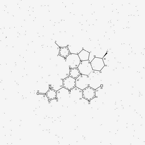 Cn1cnc(C2CCCN2c2nc3cc(-c4noc(=O)[nH]4)nc(-c4cncc(Cl)c4)c3n2C[C@H]2CC[C@H](C)CC2)c1